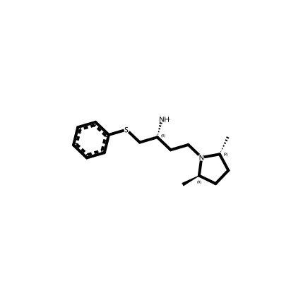 C[C@@H]1CC[C@@H](C)N1CC[C@@H]([NH])CSc1ccccc1